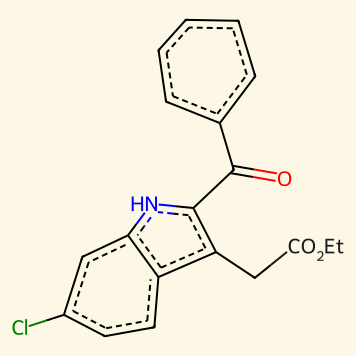 CCOC(=O)Cc1c(C(=O)c2ccccc2)[nH]c2cc(Cl)ccc12